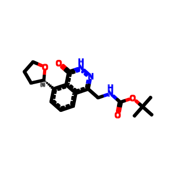 CC(C)(C)OC(=O)NCc1n[nH]c(=O)c2c([C@@H]3CCCO3)cccc12